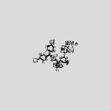 CNC(=O)[C@H](C)NC(=O)c1cc(F)cc(N(C2CN(C(c3ccc(Cl)cc3)c3ccc(Cl)cc3)C2)S(C)(=O)=O)c1